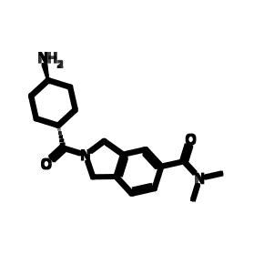 CN(C)C(=O)c1ccc2c(c1)CN(C(=O)[C@H]1CC[C@H](N)CC1)C2